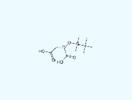 CC(C)(C)[Si](C)(C)O[C@@H](CC(=O)O)C(=O)O